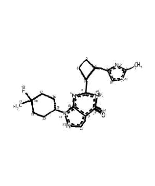 Cc1nc(C2CCC2c2nc3c(cnn3C3CCC(C)(F)CC3)c(=O)[nH]2)cs1